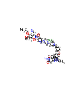 CCOc1cc([C@@H](CC#N)N2C(=O)c3cnc(N4CCN([C@@H]5CCN(Cc6ccc(Oc7ccc8c([C@@]9(C)CCC(=O)NC9=O)nn(C)c8c7)cc6)CC5(F)F)CC4)cc3C2=O)ccc1OC